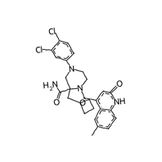 Cc1ccc2[nH]c(=O)cc(C(=O)N3CCN(c4ccc(Cl)c(Cl)c4)CC3(CC3CCC3)C(N)=O)c2c1